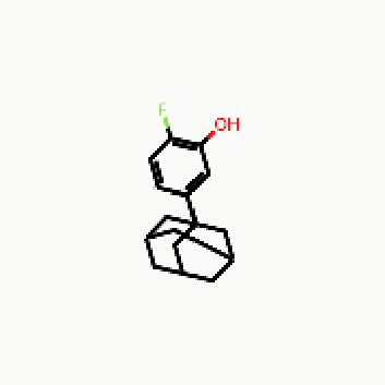 Oc1cc(C23CC4CC(CC(C4)C2)C3)[c]cc1F